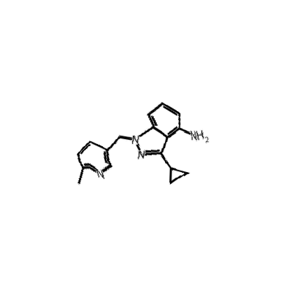 Cc1ccc(Cn2nc(C3CC3)c3c(N)cccc32)cn1